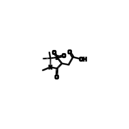 CN1C(=O)C(CC(=O)O)S(=O)(=O)C1(C)C